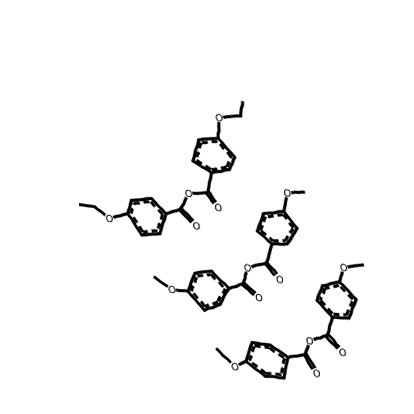 CCOc1ccc(C(=O)OC(=O)c2ccc(OCC)cc2)cc1.COc1ccc(C(=O)OC(=O)c2ccc(OC)cc2)cc1.COc1ccc(C(=O)OC(=O)c2ccc(OC)cc2)cc1